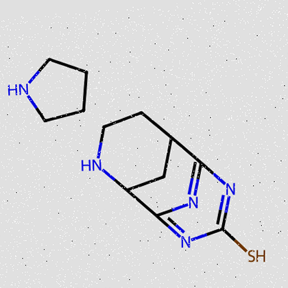 C1CCNC1.Sc1nc2nc(n1)C1CC2CCN1